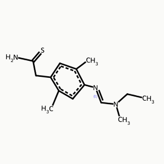 CCN(C)/C=N/c1cc(C)c(CC(N)=S)cc1C